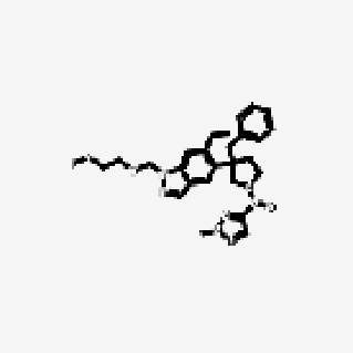 CCc1cc2c(cnn2COCCSI)cc1C1(Cc2ccccc2)CCN([S+]([O-])c2cnn(C)n2)C1